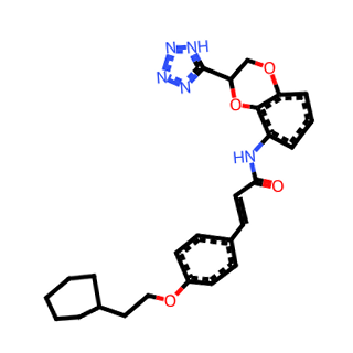 O=C(C=Cc1ccc(OCCC2CCCCC2)cc1)Nc1cccc2c1OC(c1nnn[nH]1)CO2